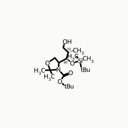 C[C@@H](CO)[C@@H](O[Si](C)(C)C(C)(C)C)C1COC(C)(C)N1C(=O)OC(C)(C)C